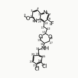 COc1ccc2ncc(F)c(CCC3OCC(NCc4ccc(Cl)c(Cl)c4)CO3)c2n1